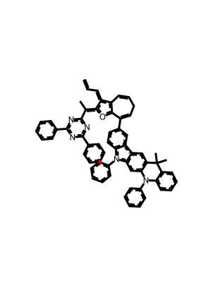 C=C/C=c1/c2c(o/c1=C(/C)c1nc(-c3ccccc3)nc(-c3ccccc3)n1)C(c1ccc3c(c1)c1cc4c(cc1n3-c1ccccc1)N(c1ccccc1)c1ccccc1C4(C)C)=CCC=C2